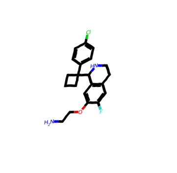 NCCOc1cc2c(cc1F)CCNC2C1(c2ccc(Cl)cc2)CCC1